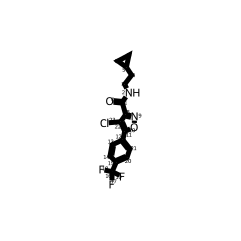 O=C(NCCC1CC1)c1noc(-c2ccc(C(F)(F)F)cc2)c1Cl